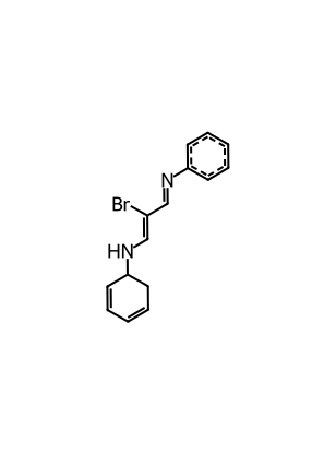 BrC(=C\NC1C=CC=CC1)/C=N/c1ccccc1